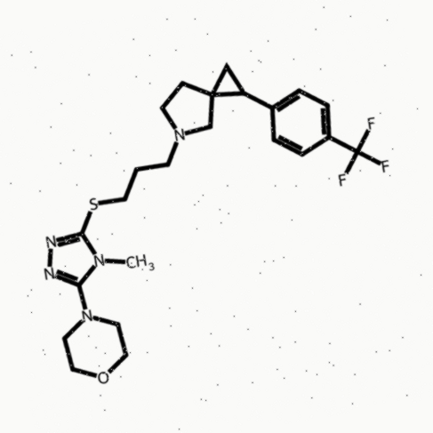 Cn1c(SCCCN2CCC3(CC3c3ccc(C(F)(F)F)cc3)C2)nnc1N1CCOCC1